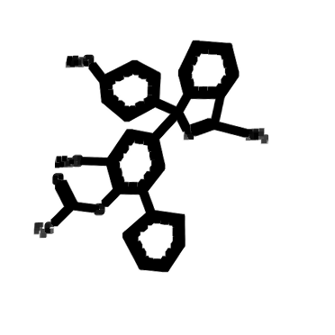 COc1ccc(C2(c3cc(OC)c(OC(=O)C(F)(F)F)c(-c4ccccc4)c3)N=C(N)c3ccccc32)cc1